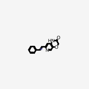 O=C1COc2cnc(/C=C/c3ccccc3)cc2N1